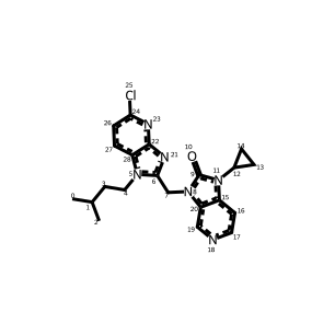 CC(C)CCn1c(Cn2c(=O)n(C3CC3)c3ccncc32)nc2nc(Cl)ccc21